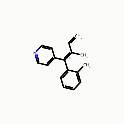 C=C/C(C)=C(\c1ccncc1)c1ccccc1C